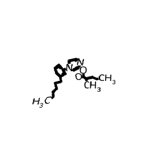 CCCCCCc1cccc(N2C=C(OC(=O)C(C)CCC)N=CC2)c1